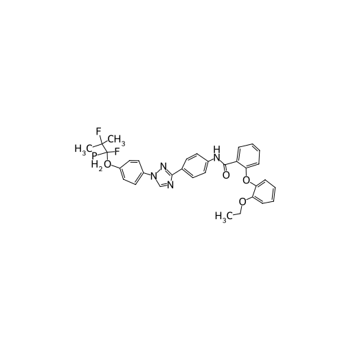 CCOc1ccccc1Oc1ccccc1C(=O)Nc1ccc(-c2ncn(-c3ccc(OC(F)(P)C(C)(C)F)cc3)n2)cc1